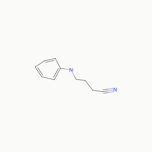 N#CCCC[N]c1ccccc1